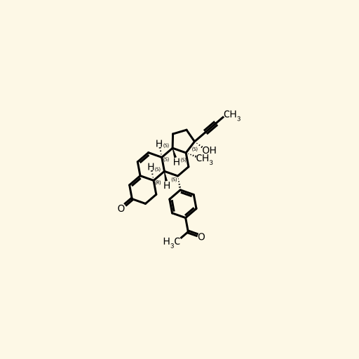 CC#C[C@]1(O)CC[C@H]2[C@@H]3C=CC4=CC(=O)CC[C@@H]4[C@H]3[C@@H](c3ccc(C(C)=O)cc3)C[C@@]21C